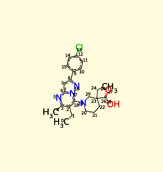 CCc1c(C)nc2cc(-c3ccc(Cl)cc3)nn2c1N1CCCC(CC)(C(=O)O)C1